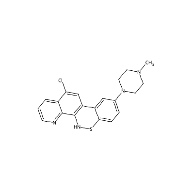 CN1CCN(c2ccc3c(c2)-c2cc(Cl)c4cccnc4c2NS3)CC1